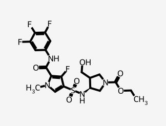 CCOC(=O)N1CC(CO)[C@H](NS(=O)(=O)c2cn(C)c(C(=O)Nc3cc(F)c(F)c(F)c3)c2F)C1